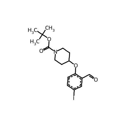 CC(C)(C)OC(=O)N1CCC(Oc2ccc(I)cc2C=O)CC1